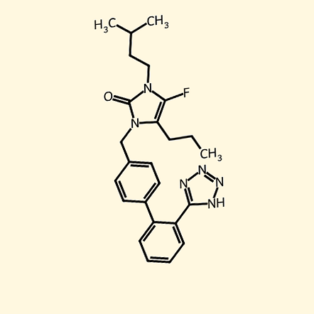 CCCc1c(F)n(CCC(C)C)c(=O)n1Cc1ccc(-c2ccccc2-c2nnn[nH]2)cc1